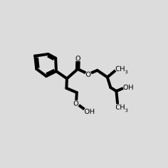 CC(O)CC(C)COC(=O)C(CCOO)c1ccccc1